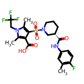 Cc1cc(NC(=O)[C@H]2CCCN(S(=O)(=O)c3c(C(=O)O)c(C)n(CC(F)(F)F)c3C)C2)ccc1F